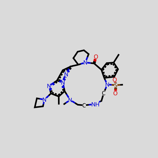 Cc1ccc2c(c1)C(=O)N1CCCCC1c1cc3nc(N4CCC4)c(C)c(n3n1)N(C)CCNCCN2S(C)(=O)=O